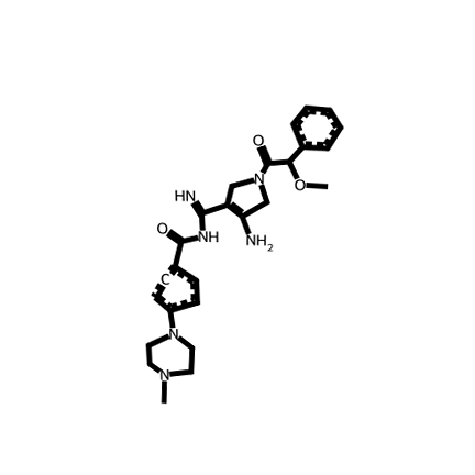 COC(C(=O)N1CC(N)=C(C(=N)NC(=O)c2ccc(N3CCN(C)CC3)cc2)C1)c1ccccc1